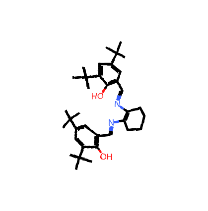 CC(C)(C)c1cc(C=NC2=C(N=Cc3cc(C(C)(C)C)cc(C(C)(C)C)c3O)CCCC2)c(O)c(C(C)(C)C)c1